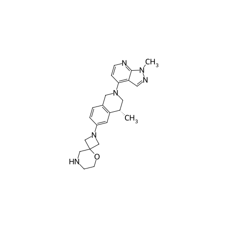 C[C@H]1CN(c2ccnc3c2cnn3C)Cc2ccc(N3CC4(CNCCO4)C3)cc21